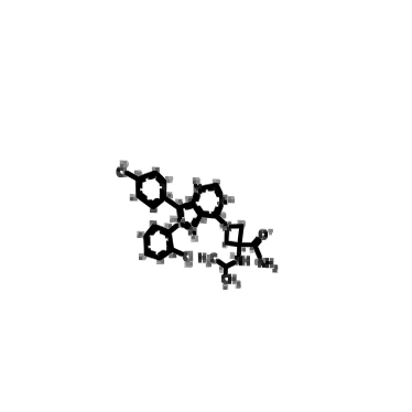 CC(C)NC1(C(N)=O)CN(c2ncnc3c(-c4ccc(Cl)cc4)n(-c4ccccc4Cl)nc23)C1